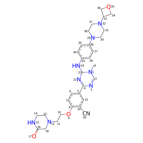 CN1C=NC(c2ccc(OCCN3CCNC(=O)C3)c(C#N)c2)=NC1Nc1ccc(N2CCN(C3COC3)CC2)cc1